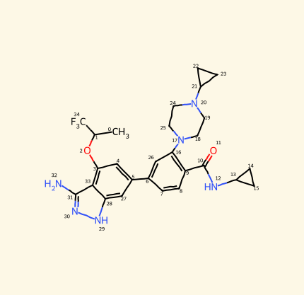 CC(Oc1cc(-c2ccc(C(=O)NC3CC3)c(N3CCN(C4CC4)CC3)c2)cc2[nH]nc(N)c12)C(F)(F)F